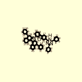 c1ccc(C2=NC(c3ccccc3)NC(c3ccc4c(c3)oc3c(-n5c6cc(-c7ccccc7)c7ccccc7c6c6c7ccccc7c(-c7ccccc7)cc65)cccc34)=N2)cc1